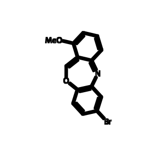 COc1cccc2c1=COc1ccc(Br)cc1N=2